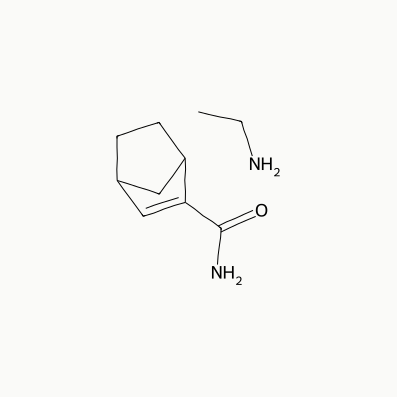 CCN.NC(=O)C1=CC2CCC1C2